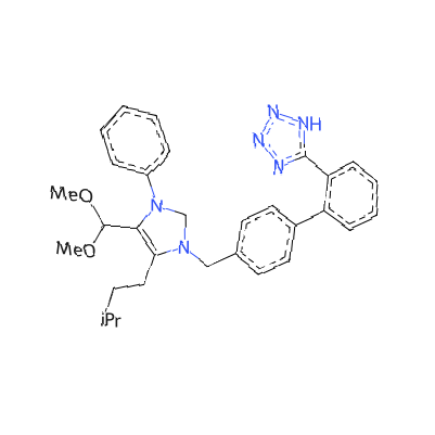 COC(OC)C1=C(CCC(C)C)N(Cc2ccc(-c3ccccc3-c3nnn[nH]3)cc2)CN1c1ccccc1